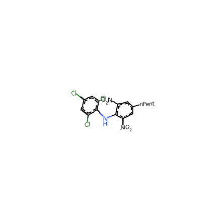 CCCCCc1cc([N+](=O)[O-])c(Nc2c(Cl)cc(Cl)cc2Cl)c([N+](=O)[O-])c1